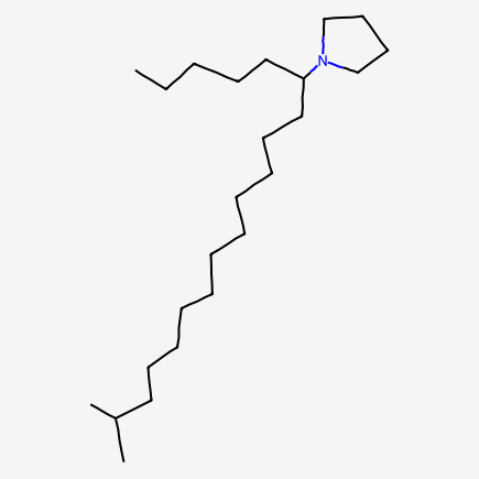 CCCCCC(CCCCCCCCCCCC(C)C)N1CCCC1